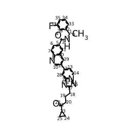 C[C@H](NC(=O)c1ccc2ncc(-c3ccn4nc(CCCC(=O)C5CC5)nc4c3)cc2c1)c1cccc(F)c1